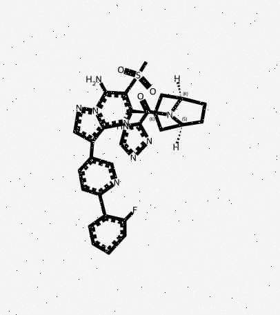 CS(=O)(=O)c1c([C@H]2C[C@H]3CC[C@@H](C2)N3C(=O)c2nnc[nH]2)nc2c(-c3ccc(-c4ccccc4F)nc3)cnn2c1N